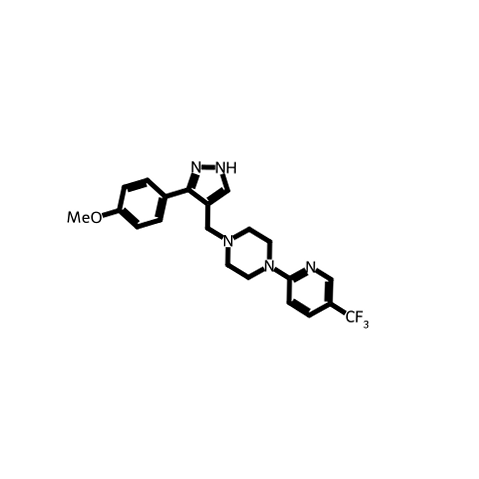 COc1ccc(-c2n[nH]cc2CN2CCN(c3ccc(C(F)(F)F)cn3)CC2)cc1